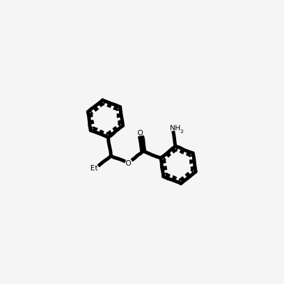 CCC(OC(=O)c1ccccc1N)c1ccccc1